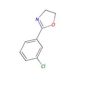 Clc1cccc(C2=NCCO2)c1